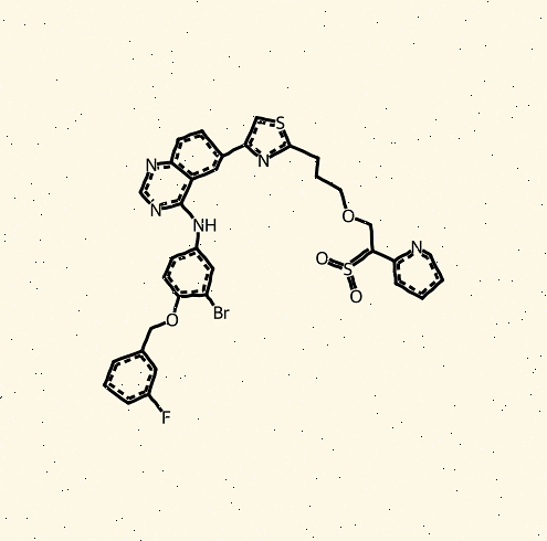 O=S(=O)=C(COCCCc1nc(-c2ccc3ncnc(Nc4ccc(OCc5cccc(F)c5)c(Br)c4)c3c2)cs1)c1ccccn1